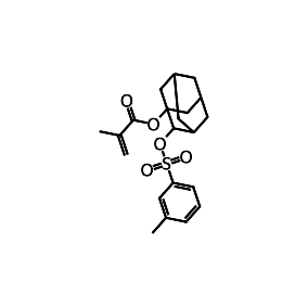 C=C(C)C(=O)OC12CC3CC(CC(C3)C1OS(=O)(=O)c1cccc(C)c1)C2